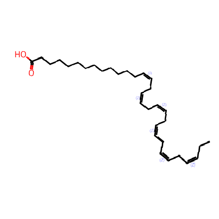 CC/C=C\C/C=C\C/C=C\C/C=C\C/C=C\C/C=C\CCCCCCCCCCCCC(=O)O